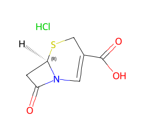 Cl.O=C(O)C1=CN2C(=O)C[C@H]2SC1